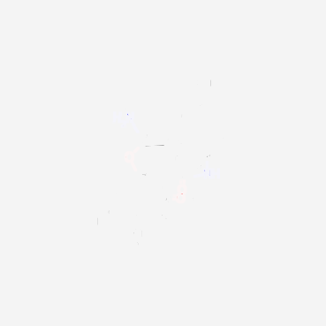 Cc1ccc2c(c1)C1(C=C(N)OC3=C1C(=O)CC(C)(C)C3)C(=O)N2